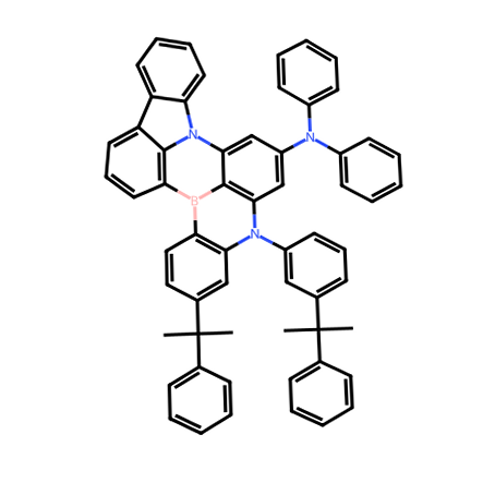 CC(C)(c1ccccc1)c1cccc(N2c3cc(C(C)(C)c4ccccc4)ccc3B3c4c2cc(N(c2ccccc2)c2ccccc2)cc4-n2c4ccccc4c4cccc3c42)c1